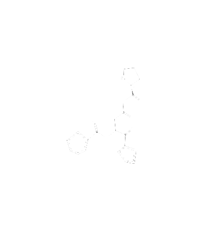 O=C(CC(SC(=O)c1ccccc1)C(=O)c1cccs1)OC(=O)[C@@H]1CCCN1